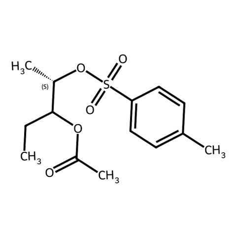 CCC(OC(C)=O)[C@H](C)OS(=O)(=O)c1ccc(C)cc1